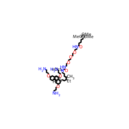 CCCCCCCCN(CCC[C@@H](C)[C@H](CC)CC[C@@H]1C[C@@H](OCCCN)C[C@H]2C1[C@H](OCCCN)CC1C[C@H](OCCCN)CC[C@@]12C)C(=O)NCCOCCOCCOCCNC(=O)CCCC[Si](OC)(OC)OC